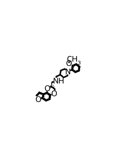 COc1ccccc1N1CCC(CNC[C@H]2COc3ccc4occc4c3O2)CC1